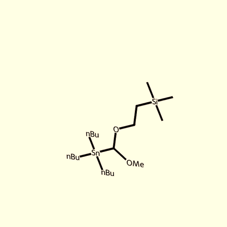 CCC[CH2][Sn]([CH2]CCC)([CH2]CCC)[CH](OC)OCC[Si](C)(C)C